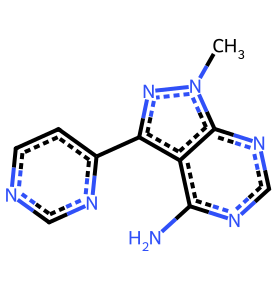 Cn1nc(-c2ccncn2)c2c(N)ncnc21